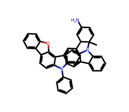 CC1(n2c3ccccc3c3ccccc32)C=CC(N)=CC1c1ccc2c(c1)c1c3oc4ccccc4c3ccc1n2-c1ccccc1